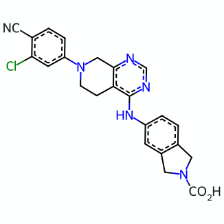 N#Cc1ccc(N2CCc3c(ncnc3Nc3ccc4c(c3)CN(C(=O)O)C4)C2)cc1Cl